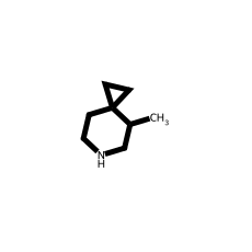 CC1CNCCC12CC2